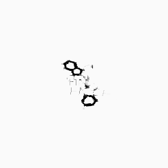 Cc1ccccc1NC(=O)NN=c1c(=O)c2ccccc2c1=O